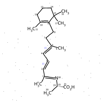 CC(/C=C/C=C(\C)CCC1=C(C)CCCC1(C)C)=N[C@@H](C)C(=O)O